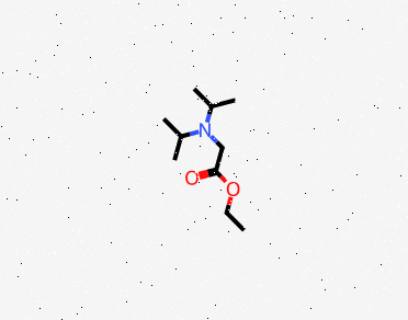 CCOC(=O)CN(C(C)C)C(C)C